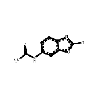 O=C(Nc1ccc2nc(Cl)oc2c1)C(F)(F)F